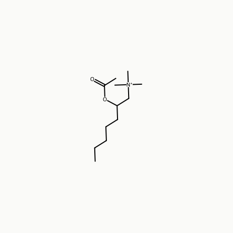 CCCCCC(C[N+](C)(C)C)OC(C)=O